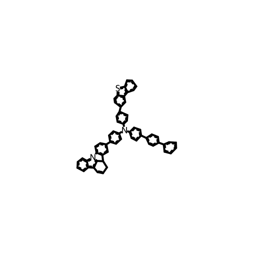 C1=Cc2c3n(c4ccccc24)-c2ccc(-c4ccc(N(c5ccc(-c6ccc(-c7ccccc7)cc6)cc5)c5ccc(-c6ccc7sc8ccccc8c7c6)cc5)cc4)cc2C3C1